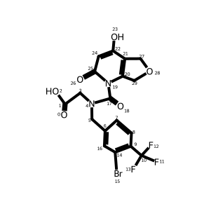 O=C(O)CN(Cc1ccc(C(F)(F)F)c(Br)c1)C(=O)n1c2c(c(O)cc1=O)COC2